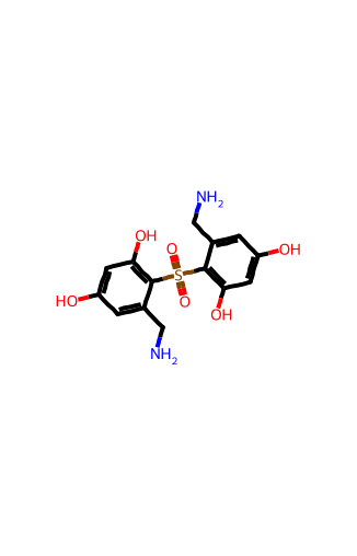 NCc1cc(O)cc(O)c1S(=O)(=O)c1c(O)cc(O)cc1CN